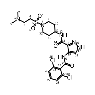 CN(C)CCS(=O)(=O)N1CCC(NC(=O)c2n[nH]cc2NC(=O)c2c(Cl)cccc2Cl)CC1